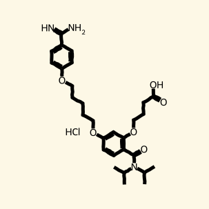 CC(C)N(C(=O)c1ccc(OCCCCCOc2ccc(C(=N)N)cc2)cc1OCCCC(=O)O)C(C)C.Cl